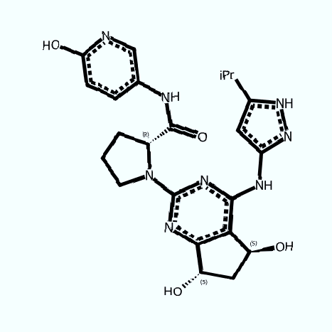 CC(C)c1cc(Nc2nc(N3CCC[C@@H]3C(=O)Nc3ccc(O)nc3)nc3c2[C@@H](O)C[C@@H]3O)n[nH]1